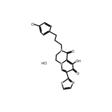 Cl.O=C1c2c(O)c(=O)c(-c3nccs3)cn2CCN1CCCc1ccc(Cl)cc1